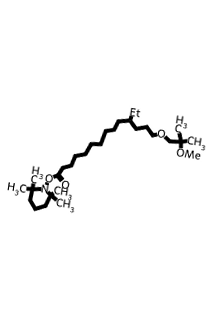 CCC(CCCCCCCCCC(=O)ON1C(C)(C)CCCC1(C)C)CCCOCC(C)(C)OC